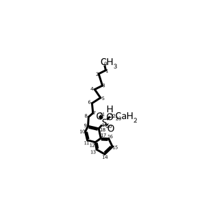 CCCCCCCCCc1ccc2ccccc2c1S(=O)(=O)O.[CaH2]